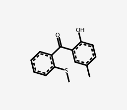 CSc1ccccc1C(=O)c1cc(C)ccc1O